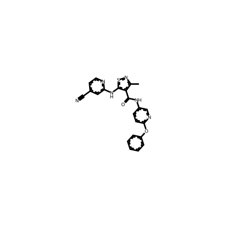 Cc1nsc(Nc2cc(C#N)ccn2)c1C(=O)Nc1ccc(Oc2ccccc2)nc1